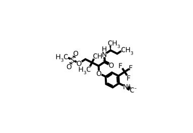 [C-]#[N+]c1ccc(OC(C(=O)N[C@@H](C)CC)C(C)(C)COS(C)(=O)=O)cc1C(F)(F)F